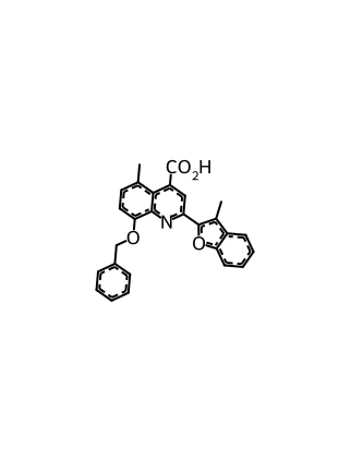 Cc1c(-c2cc(C(=O)O)c3c(C)ccc(OCc4ccccc4)c3n2)oc2ccccc12